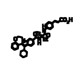 CCC(CC)(NC(=O)c1ccc2c(C3CCCCC3)c3n(c2c1)CCOc1ccccc1-3)C(=O)Nc1ccc(C=CC(=O)O)cc1